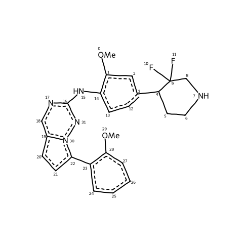 COc1cc(C2CCNCC2(F)F)ccc1Nc1ncc2ccc(-c3ccccc3OC)n2n1